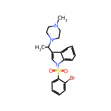 CC(c1cn(S(=O)(=O)c2ccccc2Br)c2ccccc12)N1CCN(C)CC1